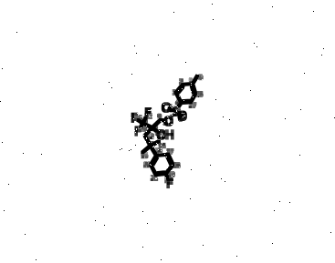 Cc1ccc(S(=O)(=O)OCC(O)(CC(C)(C)c2ccc(F)cc2)C(F)(F)F)cc1